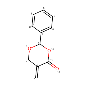 C=C1COC(c2ccccc2)OC1=O